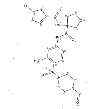 Cc1cc(NC(=O)C2(NC(=O)c3ccc(Cl)s3)CCOC2)ccc1C(=O)N1CCN(C=O)CC1